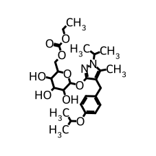 CCOC(=O)OCC1OC(Oc2nn(C(C)C)c(C)c2Cc2ccc(OC(C)C)cc2)C(O)C(O)C1O